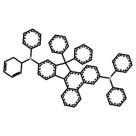 C1=CCC(N(c2ccccc2)c2ccc3c(c2)C(c2ccccc2)(c2ccccc2)c2c-3c3ccccc3c3cc(N(c4ccccc4)c4ccccc4)ccc23)C=C1